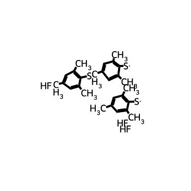 Cc1cc(C)c([S])c(C)c1.Cc1cc(C)c([S])c(C)c1.Cc1cc(C)c([S])c(C)c1.F.F.F